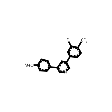 COc1ccc(-c2cncc(-c3ccc(C(F)(F)F)c(F)c3)c2)cc1